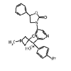 CC(C)c1ccc([C@](O)(c2cncc(N3CC(c4ccccc4)OC3=O)c2)C2(C)CN(C)C2)cc1